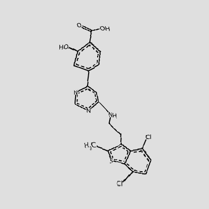 Cc1sc2c(Cl)ccc(Cl)c2c1CCNc1cc(-c2ccc(C(=O)O)c(O)c2)ncn1